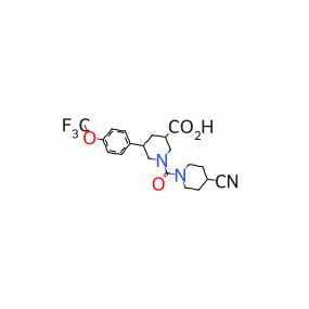 N#CC1CCN(C(=O)N2CC(C(=O)O)CC(c3ccc(OC(F)(F)F)cc3)C2)CC1